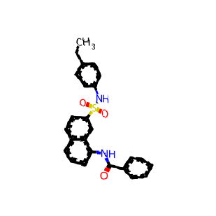 CCc1ccc(NS(=O)(=O)c2ccc3cccc(NC(=O)c4ccccc4)c3c2)cc1